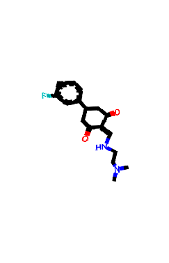 CN(C)CCNC=C1C(=O)CC(c2cccc(F)c2)CC1=O